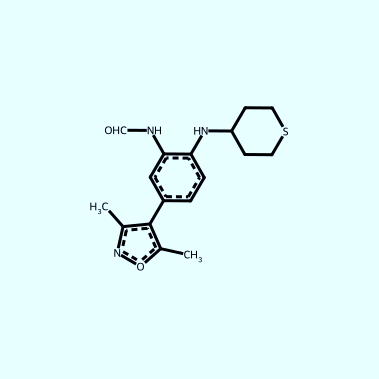 Cc1noc(C)c1-c1ccc(NC2CCSCC2)c(NC=O)c1